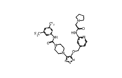 O=C(CN1CCCC1)Nc1cc(COc2nsnc2N2CCN(C(=O)Nc3cc(C(F)(F)F)cc(C(F)(F)F)c3)CC2)ccn1